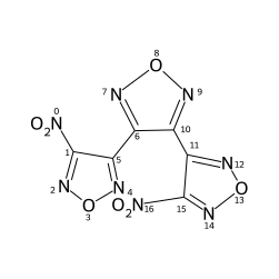 O=[N+]([O-])c1nonc1-c1nonc1-c1nonc1[N+](=O)[O-]